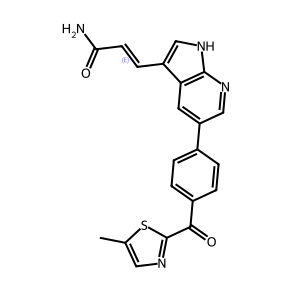 Cc1cnc(C(=O)c2ccc(-c3cnc4[nH]cc(/C=C/C(N)=O)c4c3)cc2)s1